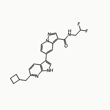 O=C(NCC(F)F)c1cnn2ccc(-c3c[nH]c4nc(CC5CCC5)ccc34)cc12